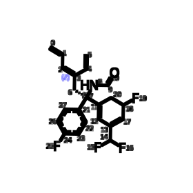 C=C/C=C(\C=C)C[C@](NC=O)(C1=CC(C(F)F)=CC(F)C1)c1ccc(F)cc1